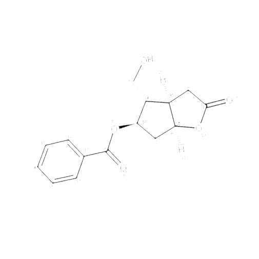 O=C1C[C@@H]2[C@@H](CO)[C@H](OC(=O)c3ccccc3)C[C@@H]2O1